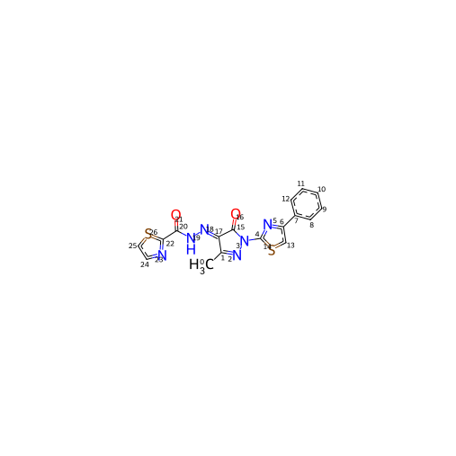 CC1=NN(c2nc(-c3ccccc3)cs2)C(=O)/C1=N/NC(=O)c1nccs1